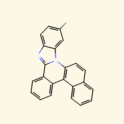 Clc1ccc2nc3c4ccccc4c4c5ccccc5ccc4n3c2c1